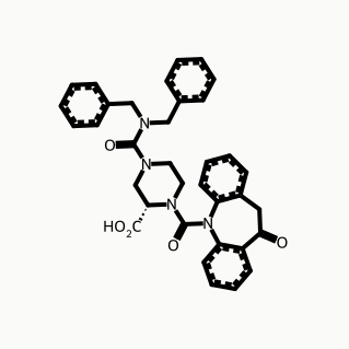 O=C1Cc2ccccc2N(C(=O)N2CCN(C(=O)N(Cc3ccccc3)Cc3ccccc3)C[C@H]2C(=O)O)c2ccccc21